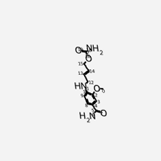 COc1cc(C(N)=O)ccc1NCC=CCOC(N)=O